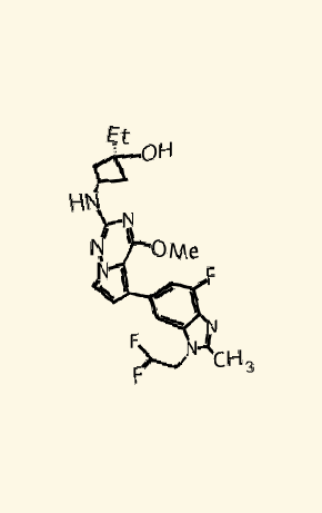 CC[C@]1(O)C[C@@H](Nc2nc(OC)c3c(-c4cc(F)c5nc(C)n(CC(F)F)c5c4)ccn3n2)C1